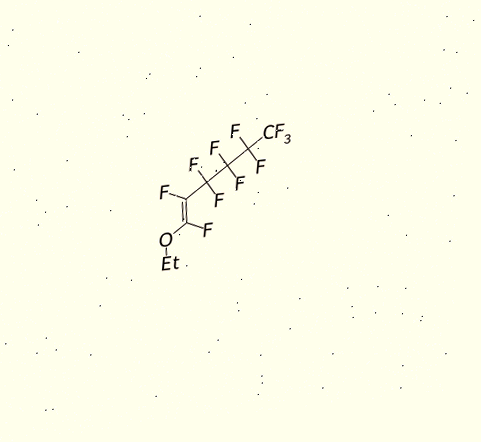 CCOC(F)=C(F)C(F)(F)C(F)(F)C(F)(F)C(F)(F)F